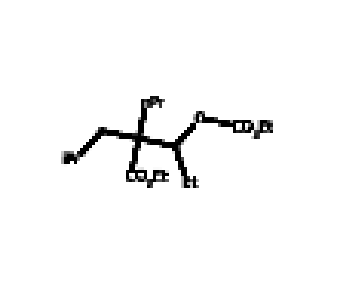 CCCC(CC(C)C)(C(=O)OCC)C(CC)OC(=O)OCC